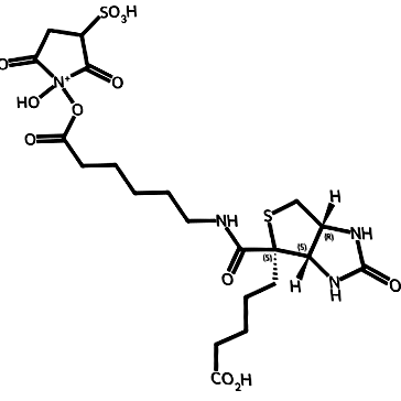 O=C(O)CCCC[C@]1(C(=O)NCCCCCC(=O)O[N+]2(O)C(=O)CC(S(=O)(=O)O)C2=O)SC[C@@H]2NC(=O)N[C@@H]21